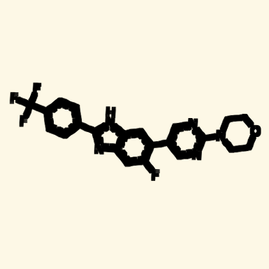 Fc1cc2nc(-c3ccc(C(F)(F)F)cc3)[nH]c2cc1-c1cnc(N2CCOCC2)nc1